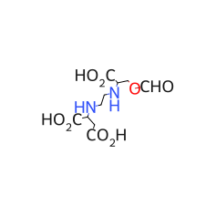 O=COCC(NCCNC(CC(=O)O)C(=O)O)C(=O)O